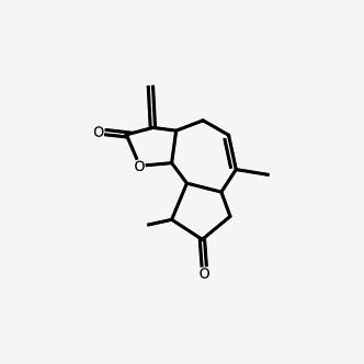 C=C1C(=O)OC2C1CC=C(C)C1CC(=O)C(C)C12